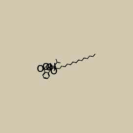 CCCCCCCCCCCCCCC(CC(C)C)OC(=O)c1ccccc1C(=O)O